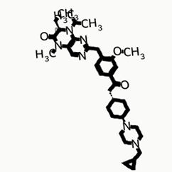 CC[C@@H]1C(=O)N(C)c2cnc(Cc3ccc(C(=O)C[C@H]4CC[C@H](N5CCN(CC6CC6)CC5)CC4)cc3OC)nc2N1C(C)C